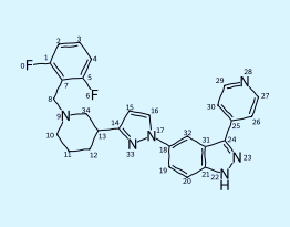 Fc1cccc(F)c1CN1CCCC(c2ccn(-c3ccc4[nH]nc(-c5ccncc5)c4c3)n2)C1